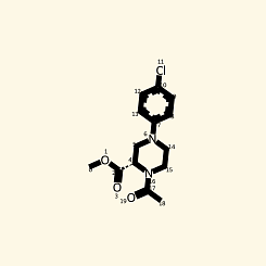 COC(=O)[C@@H]1CN(c2ccc(Cl)cc2)CCN1C(C)=O